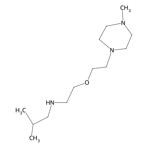 CC(C)CNCCOCCN1CCN(C)CC1